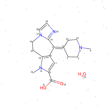 CN1CCC(=C2c3cc(C(=O)O)n(C)c3CCn3ccnc32)CC1.O